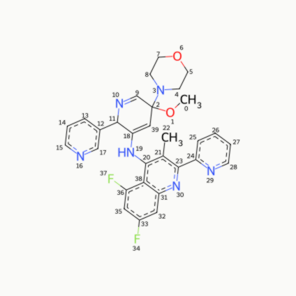 COC1(N2CCOCC2)C=NC(c2cccnc2)C(Nc2c(C)c(-c3ccccn3)nc3cc(F)cc(F)c23)=C1